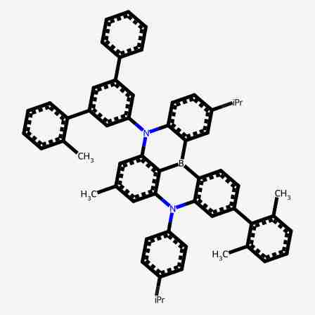 Cc1cc2c3c(c1)N(c1ccc(C(C)C)cc1)c1cc(-c4c(C)cccc4C)ccc1B3c1cc(C(C)C)ccc1N2c1cc(-c2ccccc2)cc(-c2ccccc2C)c1